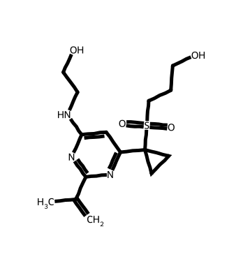 C=C(C)c1nc(NCCO)cc(C2(S(=O)(=O)CCCO)CC2)n1